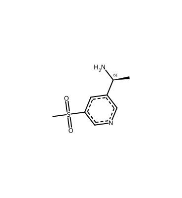 C[C@H](N)c1cncc(S(C)(=O)=O)c1